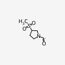 CS(=O)(=O)C1CCN([C]=O)C1